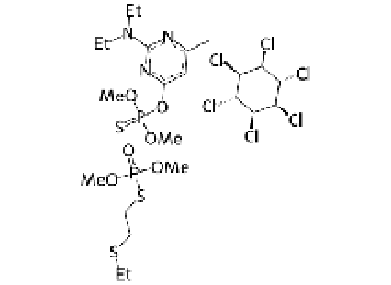 CCN(CC)c1nc(C)cc(OP(=S)(OC)OC)n1.CCSCCSP(=O)(OC)OC.Cl[C@H]1[C@H](Cl)[C@@H](Cl)[C@@H](Cl)[C@H](Cl)[C@H]1Cl